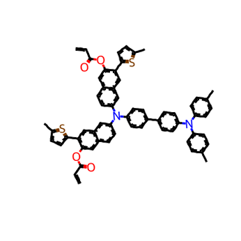 C=CC(=O)Oc1cc2ccc(N(c3ccc(-c4ccc(N(c5ccc(C)cc5)c5ccc(C)cc5)cc4)cc3)c3ccc4cc(OC(=O)C=C)c(-c5ccc(C)s5)cc4c3)cc2cc1-c1ccc(C)s1